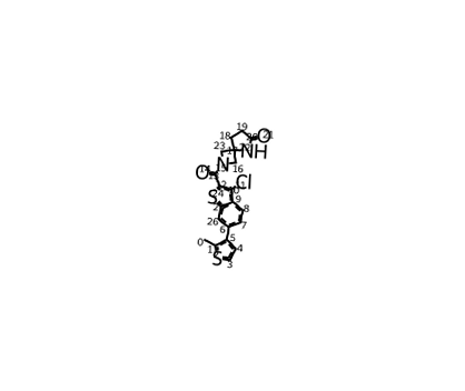 Cc1sccc1-c1ccc2c(Cl)c(C(=O)N3CC4(CCC(=O)N4)C3)sc2c1